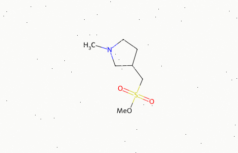 COS(=O)(=O)CC1CCN(C)C1